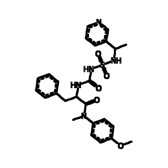 COc1ccc(N(C)C(=O)C(Cc2ccccc2)NC(=O)NS(=O)(=O)NC(C)c2cccnc2)cc1